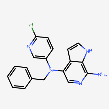 Nc1ncc(N(Cc2ccccc2)c2ccc(Cl)nc2)c2cc[nH]c12